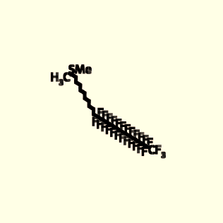 CSC(C)CCCCCCCCCCC(F)(F)C(F)(F)C(F)(F)C(F)(F)C(F)(F)C(F)(F)C(F)(F)C(F)(F)C(F)(F)C(F)(F)C(F)(F)C(F)(F)C(F)(F)F